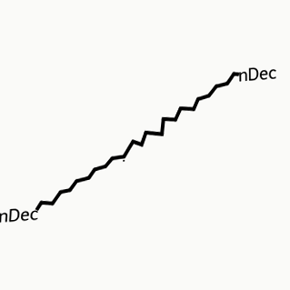 CCCCCCCCCCCCCCCCCCC[CH]CCCCCCCCCCCCCCCCCCCCCCC